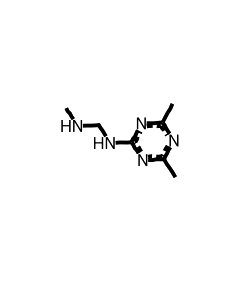 CNCNc1nc(C)nc(C)n1